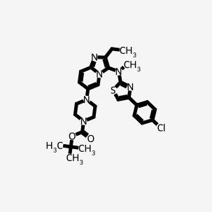 CCc1nc2ccc(N3CCN(C(=O)OC(C)(C)C)CC3)cn2c1N(C)c1nc(-c2ccc(Cl)cc2)cs1